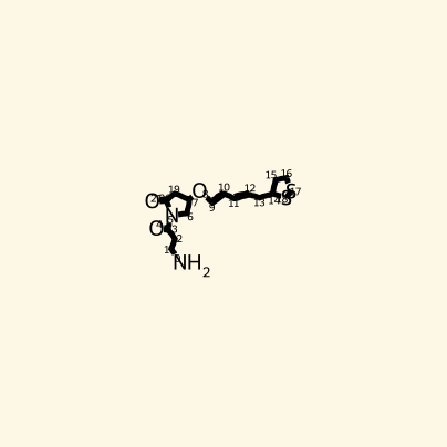 NCCC(=O)N1CC(O/C=C/C=C/CC2CCSS2)CC1=O